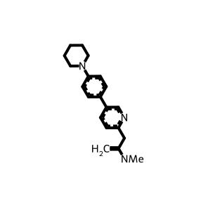 C=C(Cc1ccc(-c2ccc(N3CCCCC3)cc2)cn1)NC